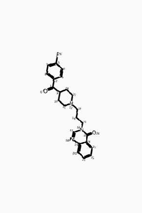 O=C(c1ccc(F)cc1)C1CCN(CCCn2cnc3ccccc3c2=O)CC1